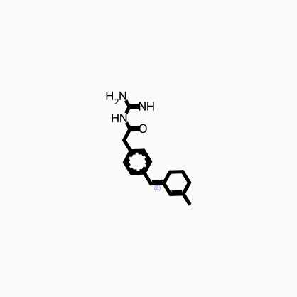 CC1=C/C(=C/c2ccc(CC(=O)NC(=N)N)cc2)CCC1